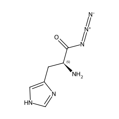 [N-]=[N+]=NC(=O)[C@@H](N)Cc1c[nH]cn1